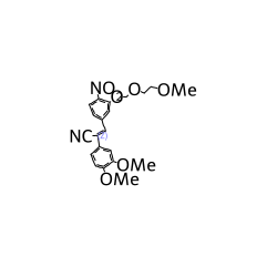 COCCOCOc1cc(/C=C(\C#N)c2ccc(OC)c(OC)c2)ccc1[N+](=O)[O-]